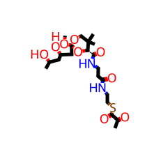 COC1(CC(O)CC(C)O)OCC(C)(C)[C@H](C(=O)NCCC(=O)NCCSC(=O)C(C)=O)O1